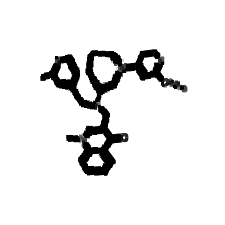 COc1cc(N2CCC[C@H](N(Cc3ccnc(C)c3)Cc3cn(C)c4ccccc4c3=O)C2)ccn1